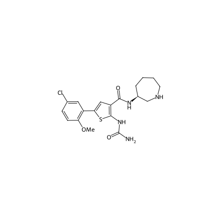 COc1ccc(Cl)cc1-c1cc(C(=O)N[C@H]2CCCCNC2)c(NC(N)=O)s1